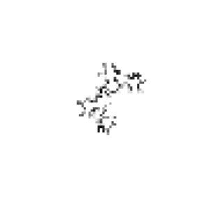 c1cncc(-c2cc3c4cc(-c5cccnc5)c5ccccc5c4sc3c3ccccc23)c1